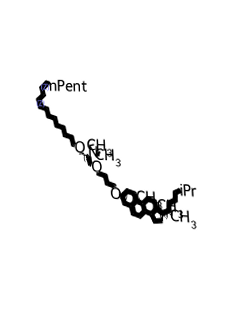 CCCCC/C=C\C/C=C\CCCCCCCCOC[C@@H](COCCCCO[C@H]1CC[C@@]2(C)C(=CCC3C2CC[C@@]2(C)C3CC[C@@H]2[C@H](C)CCCC(C)C)C1)N(C)C